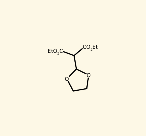 CCOC(=O)C(C(=O)OCC)C1OCCO1